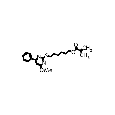 C=C(C)C(=O)OCCCCCCSc1nc(OC)cc(-c2ccccc2)n1